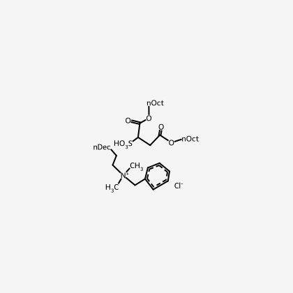 CCCCCCCCCCCC[N+](C)(C)Cc1ccccc1.CCCCCCCCOC(=O)CC(C(=O)OCCCCCCCC)S(=O)(=O)O.[Cl-]